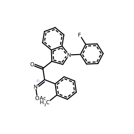 CC(=O)O/N=C(/C(=O)c1cn(-c2ccccc2F)c2ccccc12)c1ccccc1C